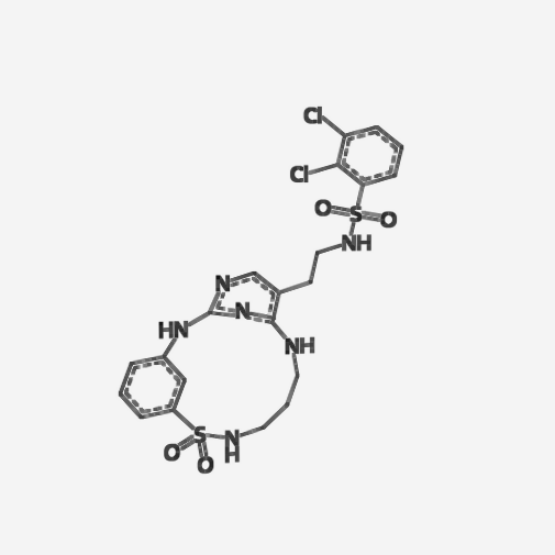 O=S1(=O)NCCCNc2nc(ncc2CCNS(=O)(=O)c2cccc(Cl)c2Cl)Nc2cccc1c2